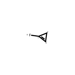 FC1=[C]C1